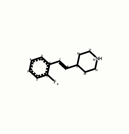 Fc1ccccc1C=CC1CCNCC1